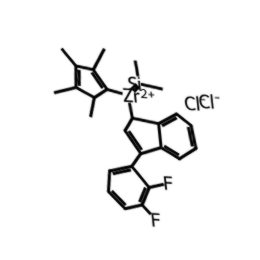 CC1=C(C)C(C)[C]([Zr+2]([CH]2C=C(c3cccc(F)c3F)c3ccccc32)=[Si](C)C)=C1C.[Cl-].[Cl-]